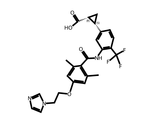 Cc1cc(OCCn2ccnc2)cc(C)c1C(=O)Nc1cc([C@H]2C[C@H]2C(=O)O)ccc1C(F)(F)F